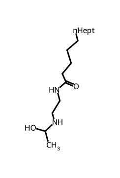 CCCCCCCCCCCC(=O)NCCNC(C)O